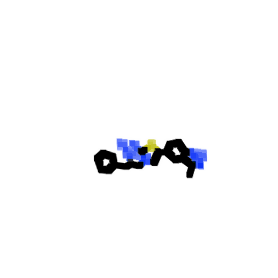 Cc1n[nH]c2ccc(C3=CN(C[C@H](N)Cc4ccccc4)C(N)S3)cc12